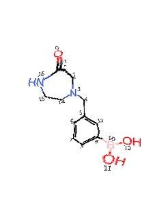 O=C1CN(Cc2cccc(B(O)O)c2)CCN1